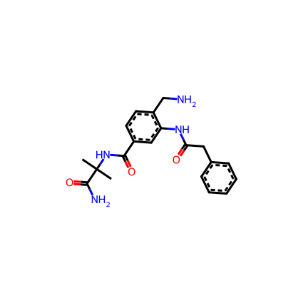 CC(C)(NC(=O)c1ccc(CN)c(NC(=O)Cc2ccccc2)c1)C(N)=O